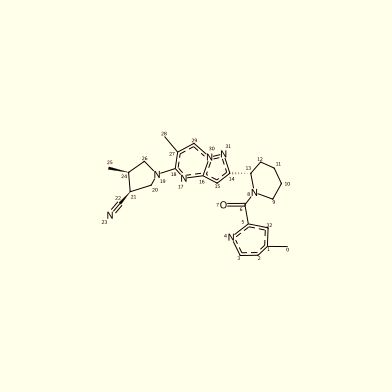 Cc1ccnc(C(=O)N2CCCC[C@H]2c2cc3nc(N4C[C@@H](C#N)[C@@H](C)C4)c(C)cn3n2)c1